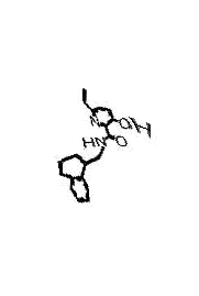 C=Cc1ccc(O)c(C(=O)NCC2CCCc3ccccc32)n1